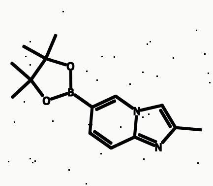 Cc1cn2cc(B3OC(C)(C)C(C)(C)O3)ccc2n1